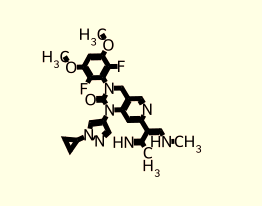 CN/C=C(\C(C)=N)c1cc2c(cn1)CN(c1c(F)c(OC)cc(OC)c1F)C(=O)N2c1cnn(C2CC2)c1